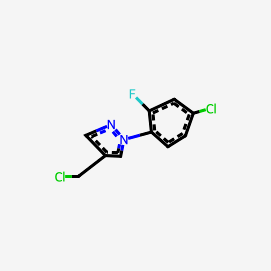 Fc1cc(Cl)ccc1-n1cc(CCl)cn1